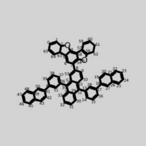 C1=CC2Oc3c(cc(-c4ccc5c(-c6cccc(-c7ccc8ccccc8c7)c6)c6ccccc6c(-c6cccc(-c7ccc8ccccc8c7)c6)c5c4)c4oc5c(c34)C=CCC5)C2C=C1